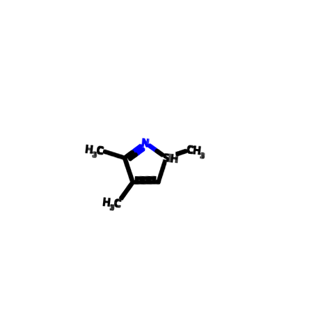 CC1=C[SiH](C)N=C1C